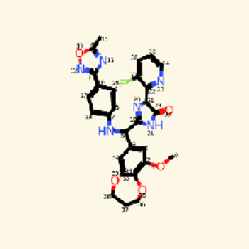 COc1cc(C(Nc2ccc(-c3noc(C)n3)cc2)C2=NC(c3ncccc3F)C(=O)N2)cc2c1OCCCO2